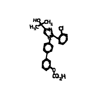 CC(C)(O)c1cn(-c2ccc(-c3cccc(OC(=O)O)c3)cc2)c(-c2ccccc2Cl)n1